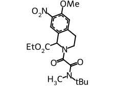 CCOC(=O)C1c2cc([N+](=O)[O-])c(OC)cc2CCN1C(=O)C(=O)N(C)C(C)(C)C